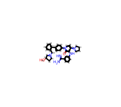 N=C(N)c1cccc(Nc2c(N3CCCC3)ccn(-c3ccc(-c4ccccc4CN4CC[C@@H](O)C4)cc3)c2=O)c1